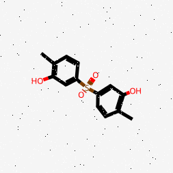 Cc1ccc(S(=O)(=O)c2ccc(C)c(O)c2)cc1O